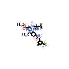 COC(=O)c1cc(Nc2cc(C3CC3)[nH]n2)nc(N(C)[C@H]2CC[C@H](NC(=O)Cc3cccc(C(F)(F)F)c3)CC2)n1